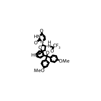 COc1ccc(C(O[C@H]2[C@@H](NC(=O)C(F)(F)F)[C@H](n3ccc(=O)[nH]c3=O)O[C@@H]2CO)(c2ccccc2)c2ccc(OC)cc2)cc1